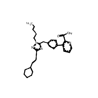 CCCCCn1nc(CCC2CCCCC2)nc1Cc1ccc(-c2cccnc2C(=O)O)cc1